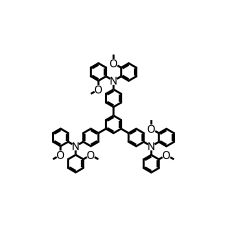 COC1=CC=CCC1N(c1ccc(-c2cc(-c3ccc(N(c4ccccc4OC)c4ccccc4OC)cc3)cc(-c3ccc(N(c4ccccc4OC)c4ccccc4OC)cc3)c2)cc1)c1ccccc1OC